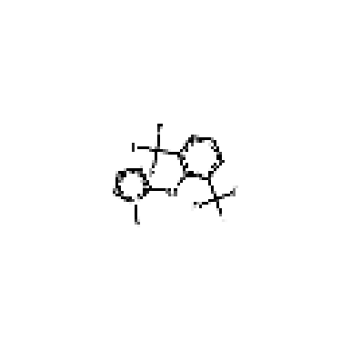 Cn1[c]ccc1Oc1c(C(F)(F)F)cccc1C(F)(F)F